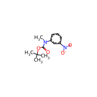 CN(C(=O)OC(C)(C)C)c1cccc([N+](=O)[O-])c1